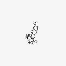 COc1ccc(CC(C[C@H](N)C(=O)O)C(=O)O)cc1